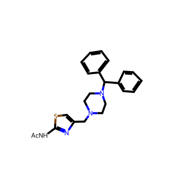 CC(=O)Nc1nc(CN2CCN(C(c3ccccc3)c3ccccc3)CC2)cs1